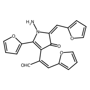 NN1C(c2ccco2)=C(/C(C=O)=C\c2ccco2)C(=O)/C1=C\c1ccco1